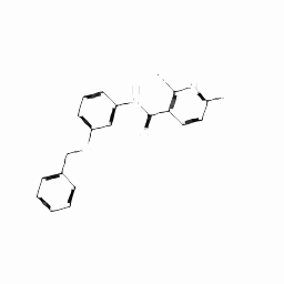 Cc1ccc(C(=O)Nc2cccc(OCc3ccccc3)c2)c(N)n1